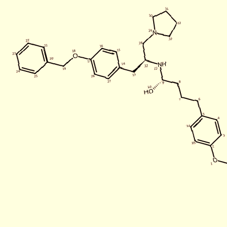 COc1ccc(CCC[C@H](O)N[C@@H](Cc2ccc(OCc3ccccc3)cc2)CN2CCCC2)cc1